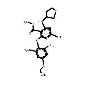 CCOc1cc(C)c(Oc2nc(C)cc(NC3CCOC3)c2C(=O)OC)c(C)c1